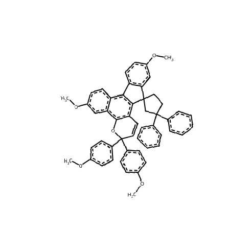 COc1ccc(C2(c3ccc(OC)cc3)C=Cc3c4c(c5ccc(OC)cc5c3O2)-c2ccc(OC)cc2C42CCC(c3ccccc3)(c3ccccc3)C2)cc1